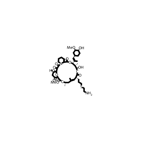 CO[C@H]1C[C@@H](C)C/C(C)=C/[C@@H](CCCSCCN)C(=O)C[C@H](O)[C@@H](C)[C@@H](/C(C)=C/[C@@H]2CC[C@@H](O)[C@H](OC)C2)OC(=O)[C@@H]2CCCCN2C(=O)C(=O)[C@]2(O)O[C@H]1[C@@H](C=O)C[C@H]2C